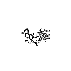 CC(=O)O[C@@H]1[C@H](OC(C)=O)[C@@H](COP(=O)(O)OP(=O)(O)O)O[C@H]1N1CCCNC1=O